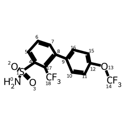 NS(=O)(=O)c1cccc(-c2ccc(OC(F)(F)F)cc2)c1C(F)(F)F